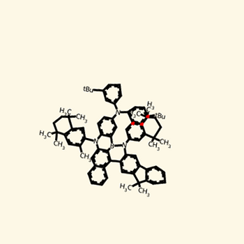 Cc1cc2c(cc1N1c3ccc(N(c4ccc(C(C)(C)C)cc4)c4cccc(C(C)(C)C)c4)cc3B3c4c1cc1ccccc1c4-c1cc4c(cc1N3c1ccc3c(c1)C(C)(C)CCC3(C)C)-c1ccccc1C4(C)C)C(C)(C)CCC2(C)C